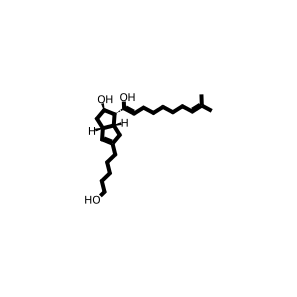 CC(C)=CCCCCCC=C(O)[C@@H]1[C@@H]2CC(CCCCCO)=C[C@@H]2C[C@H]1O